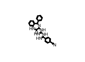 N#Cc1ccc(C(=N)NC(=N)NC2N=C(c3ccccc3)c3ccccc3NC2=O)cc1